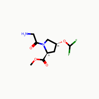 COC(=O)[C@@H]1C[C@@H](OC(F)F)CN1C(=O)CN